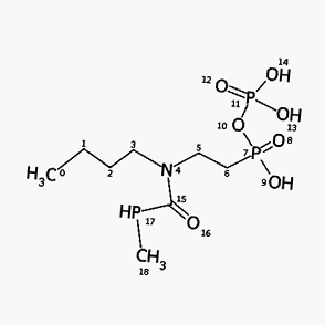 CCCCN(CCP(=O)(O)OP(=O)(O)O)C(=O)PC